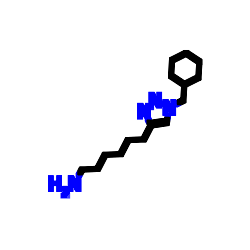 NCCCCCCc1cn(CC2CCCCC2)nn1